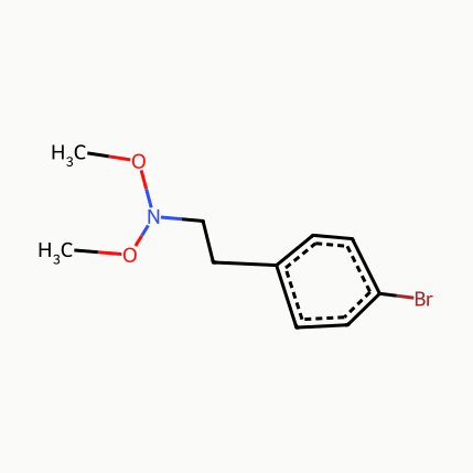 CON(CCc1ccc(Br)cc1)OC